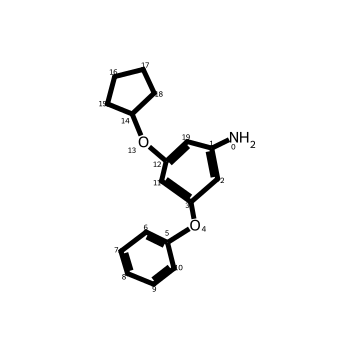 Nc1cc(Oc2ccccc2)cc(OC2CCCC2)c1